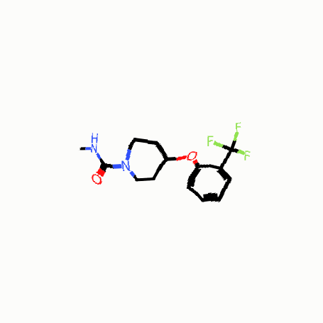 CNC(=O)N1CCC(Oc2ccccc2C(F)(F)F)CC1